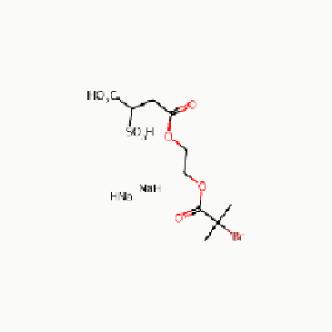 CC(C)(Br)C(=O)OCCOC(=O)CC(C(=O)O)S(=O)(=O)O.[NaH].[NaH]